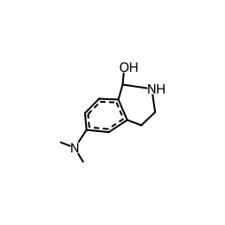 CN(C)c1ccc2c(c1)CCNC2O